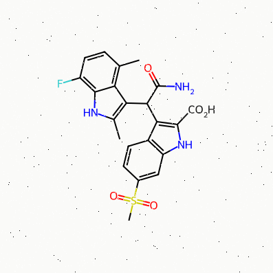 Cc1[nH]c2c(F)ccc(C)c2c1C(C(N)=O)c1c(C(=O)O)[nH]c2cc(S(C)(=O)=O)ccc12